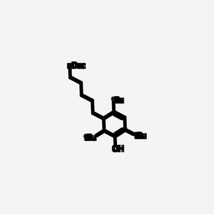 CCCCCCCCCCCCCCCC1C(C(C)(C)C)=CC(C(C)(C)C)=C(O)C1C(C)(C)C